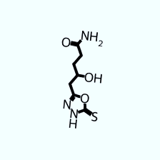 NC(=O)CCC(O)Cc1n[nH]c(=S)o1